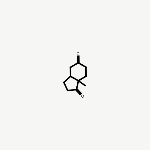 CC12CCC(=O)CC1CCC2=O